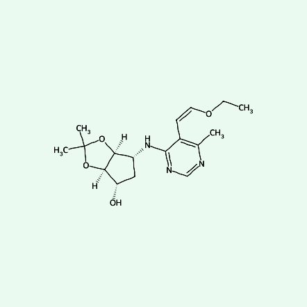 CCO/C=C\c1c(C)ncnc1N[C@@H]1C[C@H](O)[C@H]2OC(C)(C)O[C@H]21